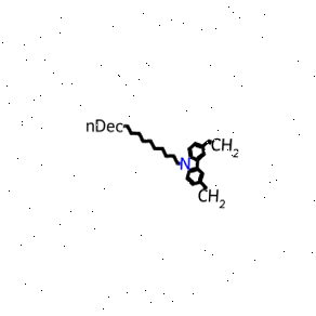 C=Cc1ccc2c(c1)c1cc(C=C)ccc1n2CCCCCCCCCCCCCCCCCCCC